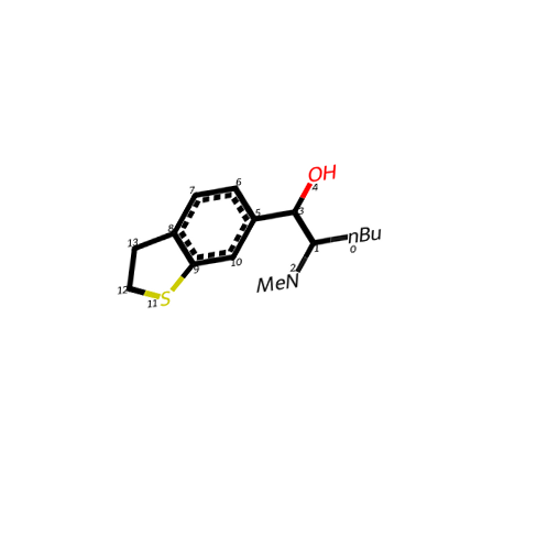 CCCCC(NC)C(O)c1ccc2c(c1)SCC2